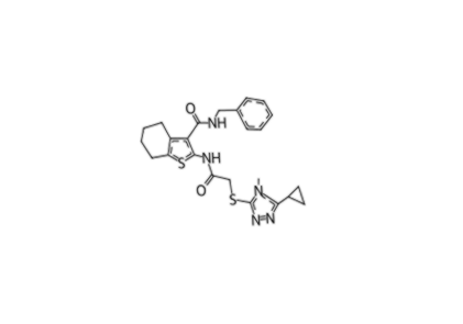 Cn1c(SCC(=O)Nc2sc3c(c2C(=O)NCc2ccccc2)CCCC3)nnc1C1CC1